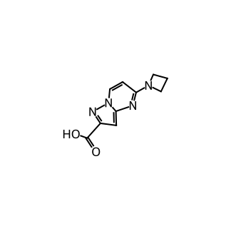 O=C(O)c1cc2nc(N3CCC3)ccn2n1